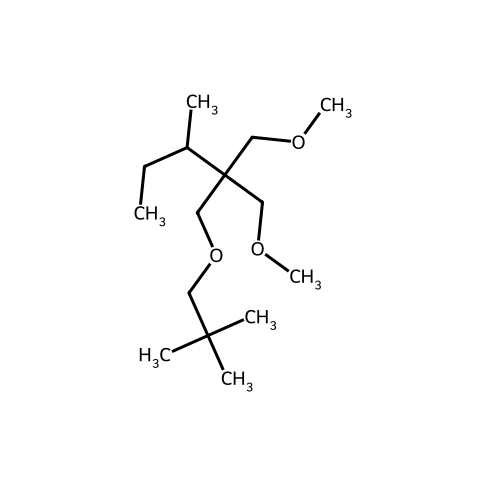 CCC(C)C(COC)(COC)COCC(C)(C)C